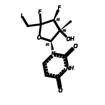 C[C@@]1(O)[C@H](F)C(F)(CI)O[C@H]1n1ccc(=O)[nH]c1=O